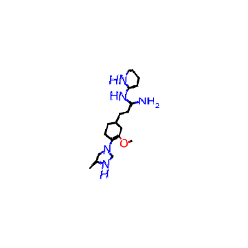 COC1=C(N2CNC(C)C2)CCC(CCC(N)NC2CCCCN2)C1